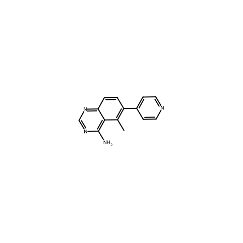 Cc1c(-c2ccncc2)ccc2ncnc(N)c12